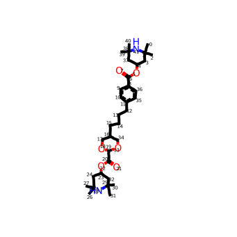 CC1(C)CC(OC(=O)c2ccc(CCCCC3COC(C(=O)OC4CC(C)(C)NC(C)(C)C4)OC3)cc2)CC(C)(C)N1